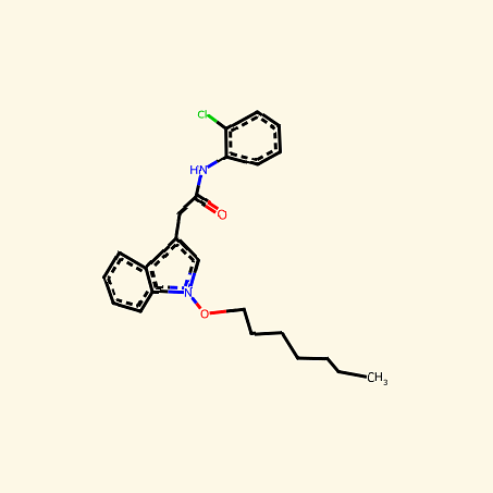 CCCCCCCOn1cc(CC(=O)Nc2ccccc2Cl)c2ccccc21